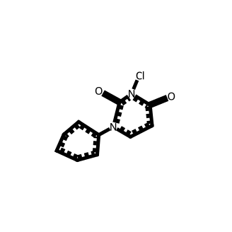 O=c1ccn(-c2ccccc2)c(=O)n1Cl